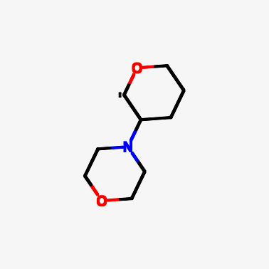 [C]1OCCCC1N1CCOCC1